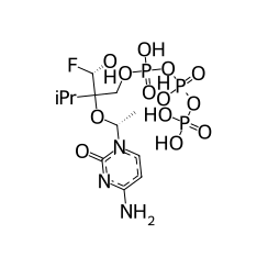 CC(C)C(COP(=O)(O)OP(=O)(O)OP(=O)(O)O)(O[C@H](C)n1ccc(N)nc1=O)[C@@H](O)F